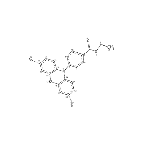 CCOC(=O)c1ccc(N2c3ccc(Br)cc3Oc3cc(Br)ccc32)cc1